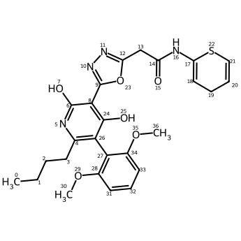 CCCCc1nc(O)c(-c2nnc(CC(=O)NC3=CCC=CS3)o2)c(O)c1-c1c(OC)cccc1OC